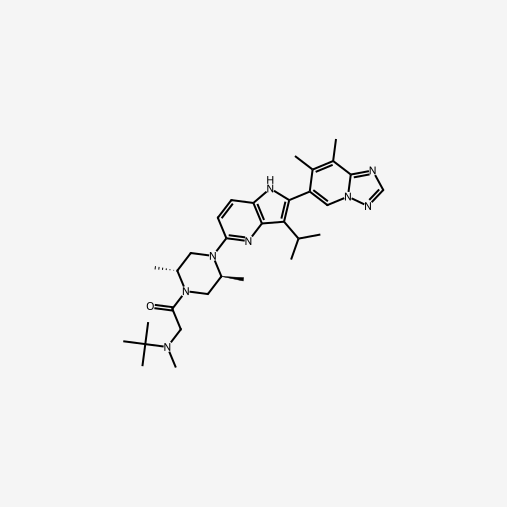 Cc1c(-c2[nH]c3ccc(N4C[C@@H](C)N(C(=O)CN(C)C(C)(C)C)C[C@@H]4C)nc3c2C(C)C)cn2ncnc2c1C